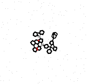 c1ccc(-c2cccc3cccc(-c4ccccc4N(c4ccc(-n5c6ccccc6c6ccccc65)cc4)c4ccc(C5(c6ccccc6)c6ccccc6-c6cc(C78CC9CC(CC(C9)C7)C8)ccc65)cc4)c23)cc1